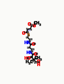 COC(=O)/C=C/C(=O)SCCNC(=O)CCNC(=O)[C@H](O)C(C)(C)CO